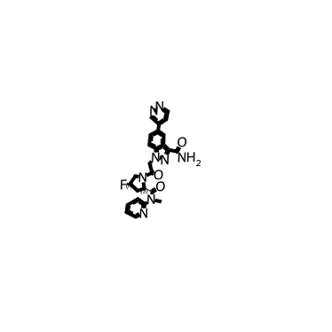 CN(C(=O)[C@@H]1C[C@@H](F)CN1C(=O)Cn1nc(C(N)=O)c2cc(-c3ccnnc3)ccc21)c1ccccn1